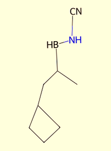 CC(BNC#N)CC1CCC1